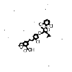 CC1C(COc2ccc(CCc3cc4c(c(C(=O)O)c3)OCC4)c(Cl)c2)=C(C2CC2)ON1c1c(Cl)cccc1Cl